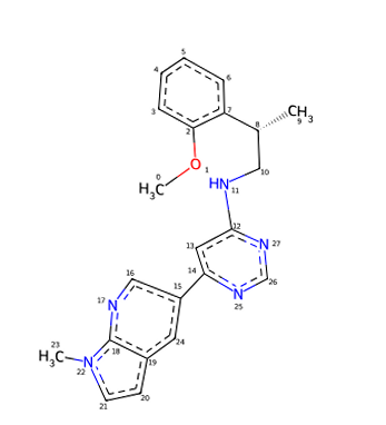 COc1ccccc1[C@H](C)CNc1cc(-c2cnc3c(ccn3C)c2)ncn1